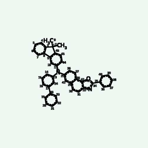 CC1(C)c2ccccc2-c2cc(N(c3cccc(-c4ccccc4)c3)c3ccc4c(ccc5nc(-c6ccccc6)oc54)c3)ccc21